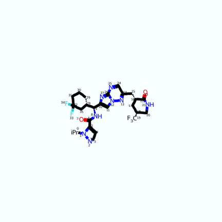 CC(C)n1nccc1C(=O)N[C@H](c1cn2nc(C[C@H]3C[C@@H](C(F)(F)F)CNC3=O)cnc2n1)[C@H]1CCCC(F)(F)C1